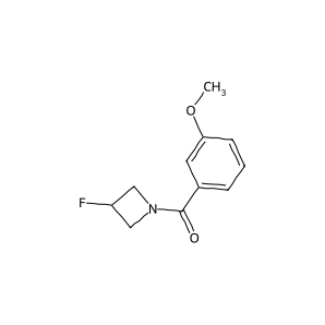 COc1cccc(C(=O)N2CC(F)C2)c1